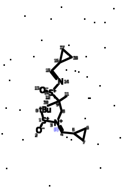 CC(C)(C)[S+]([O-])/[N+](=C/C1CC1)CC(C)(C)[S@@+]([O-])N=CC1CC1